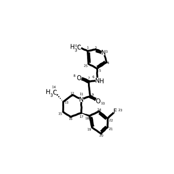 Cc1cncc(NC(=O)C(=O)N2C[C@@H](C)CC[C@@H]2c2cccc(F)c2)c1